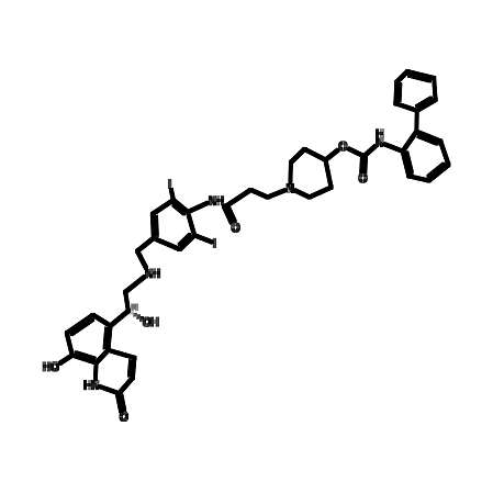 O=C(CCN1CCC(OC(=O)Nc2ccccc2-c2ccccc2)CC1)Nc1c(I)cc(CNC[C@H](O)c2ccc(O)c3[nH]c(=O)ccc23)cc1I